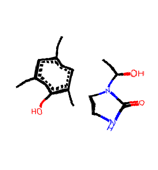 CC(O)N1CCNC1=O.Cc1cc(C)c(O)c(C)c1